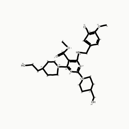 COC(=O)c1c(NCc2ccc(OC)c(Cl)c2)nc(N2CCC(CO)CC2)nc1N1CCC(CCO)CC1